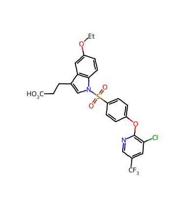 CCOc1ccc2c(c1)c(CCC(=O)O)cn2S(=O)(=O)c1ccc(Oc2ncc(C(F)(F)F)cc2Cl)cc1